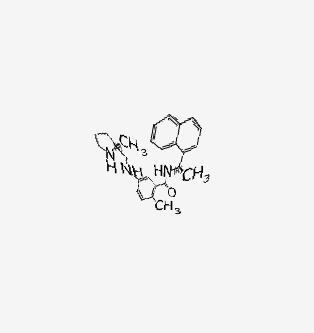 Cc1ccc(NC[C@@]2(C)CCCN2)cc1C(=O)N[C@H](C)c1cccc2ccccc12